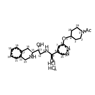 CC(=O)N1CCC(Oc2cc(C(=O)NC[C@@H](O)[C@@H]3Cc4ccccc4CN3)cnn2)CC1.Cl.Cl